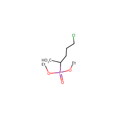 CCOP(=O)(OCC)C(CCCCl)C(=O)O